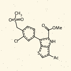 COC(=O)c1[nH]c2c(C(C)=O)csc2c1-c1ccc(CS(C)(=O)=O)c(Cl)c1